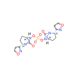 O=C1N2C[C@@H](CC[C@H]2c2ccon2)N1OS(=O)(=O)ON1C(=O)N2C[C@H]1CC[C@H]2c1ccon1